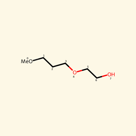 COCCCOCCO